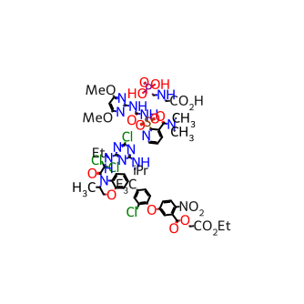 CC1COc2ccccc2N1C(=O)C(Cl)Cl.CCNc1nc(Cl)nc(NC(C)C)n1.CCOC(=O)COC(=O)c1cc(Oc2ccc(C(F)(F)F)cc2Cl)ccc1[N+](=O)[O-].COc1cc(OC)nc(NC(=O)NS(=O)(=O)c2ncccc2C(=O)N(C)C)n1.O=C(O)CNCP(=O)(O)O